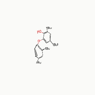 CC(C)(C)c1ccc(Oc2cc(C(C)(C)C)cc(C(C)(C)C)c2O)c(C(C)(C)C)c1